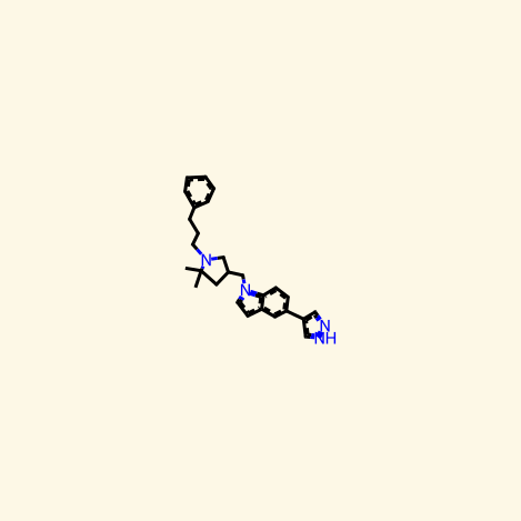 CC1(C)CC(Cn2ccc3cc(-c4cn[nH]c4)ccc32)CN1CCCc1ccccc1